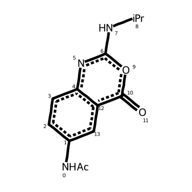 CC(=O)Nc1ccc2nc(NC(C)C)oc(=O)c2c1